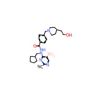 Bc1cnc(C#N)nc1N(CC1CCCC1)NC(=O)c1ccc(CN2CCC(CCO)CC2)cc1